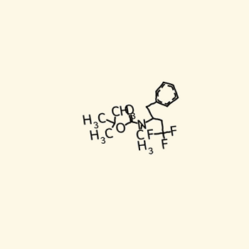 CN(C(=O)OC(C)(C)C)C(Cc1ccccc1)CC(F)(F)F